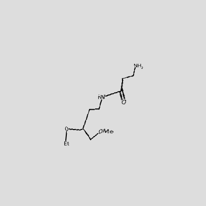 CCOC(CCNC(=O)CCN)COC